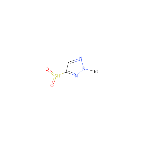 CCn1ncc([SH](=O)=O)n1